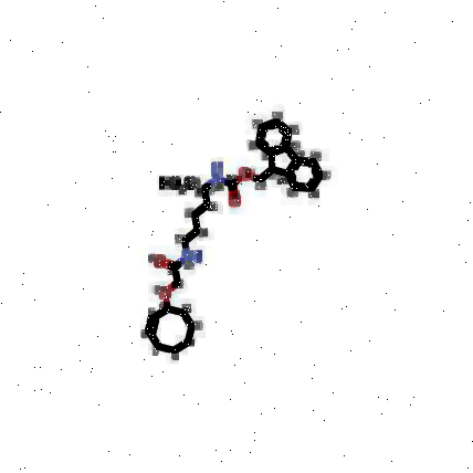 O=C(COC1C#CCCCCC1)NCCCC[C@@H](NC(=O)OCC1c2ccccc2-c2ccccc21)C(=O)O